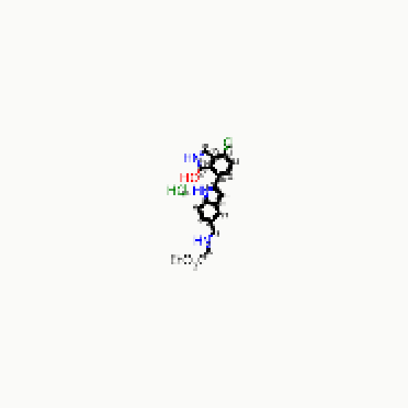 CCOC(=O)CNCc1ccc2[nH]c(-c3ccc(Cl)c4c3C(O)NC4)cc2c1.Cl